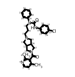 Cc1ccnc(C)c1C(=O)N1CC2CN(CCCN(C(=O)Nc3ccc(Cl)cc3)c3ccccc3)CC2C1